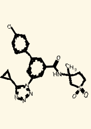 CC1(NC(=O)c2cc(-c3ccc(Cl)cc3)cc(-n3nnnc3C3CC3)c2)CCS(=O)(=O)C1